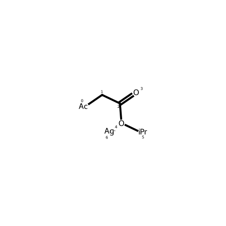 CC(=O)CC(=O)OC(C)C.[Ag]